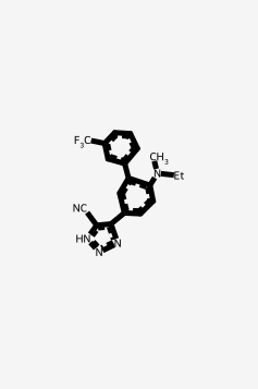 CCN(C)c1ccc(-c2nn[nH]c2C#N)cc1-c1cccc(C(F)(F)F)c1